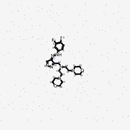 Fc1ccc(N/N=C2/[C]=NN=C2CN(CCN2CCOCC2)CCN2CCOCC2)cc1F